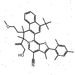 C=C(CO)C1(C)[n+]2cc(C#N)c3c(C)c(-c4c(C)cc(C)cc4C)sc3c2-c2cc(C(C)(C)C)c3ccccc3c2C1(C)CCOC